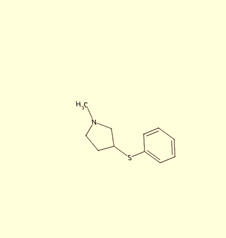 CN1CCC(Sc2ccccc2)C1